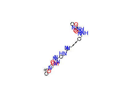 C[C@H](CC(=O)N1CCC(O)(Cn2cnc3c(-c4ccc(CNCc5cnn(CCC#CC#Cc6ccc(Cc7nc(C(=O)N[C@H]8COc9ccccc9N(C)C8=O)n[nH]7)cc6)c5)cc4)n(C)nc3c2=O)CC1)c1ccccc1